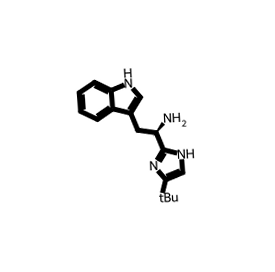 CC(C)(C)c1c[nH]c([C@H](N)Cc2c[nH]c3ccccc23)n1